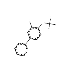 FC(F)(F)Oc1ccc(-c2ccc[c]n2)cc1Cl